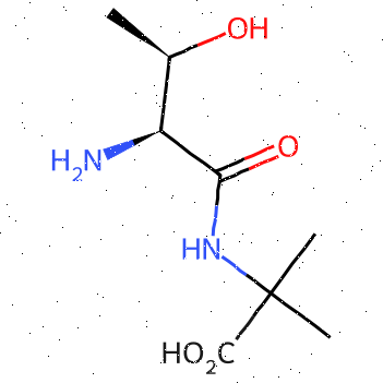 C[C@@H](O)[C@H](N)C(=O)NC(C)(C)C(=O)O